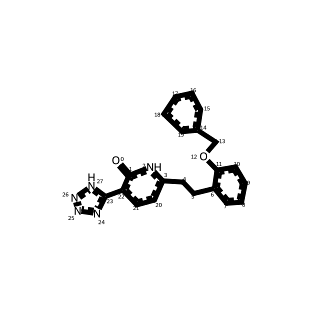 O=c1[nH]c(CCc2ccccc2OCc2ccccc2)ccc1-c1nnn[nH]1